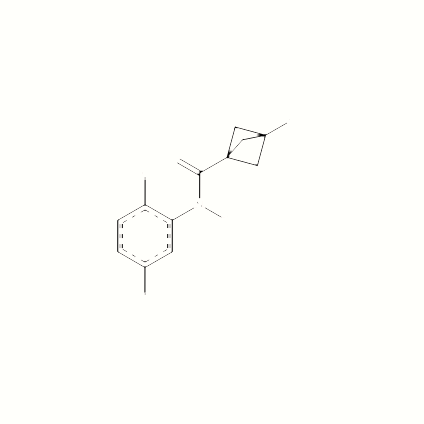 Cc1ccc(C)c(N(C)C(=O)C23CC(O)(C2)C3)c1